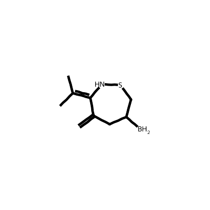 BC1CSNC(=C(C)C)C(=C)C1